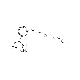 CNC(CO)c1cccc(OCCOCCOC)c1